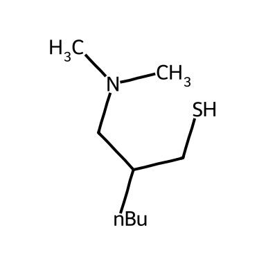 CCCCC(CS)CN(C)C